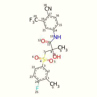 Cc1cc(S(=O)(=O)CC(C)(O)C(=O)Nc2ccc(C#N)c(C(F)(F)F)c2)ccc1F